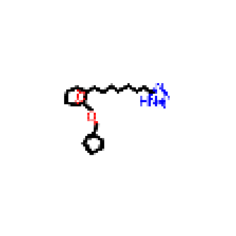 c1ccc(COCC2C3CCC(O3)C2CCCCCCCc2nnn[nH]2)cc1